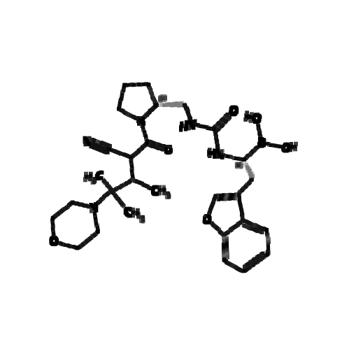 CC(C(C#N)C(=O)N1CCC[C@@H]1CNC(=O)N[C@@H](Cc1coc2ccccc12)B(O)O)C(C)(C)N1CCOCC1